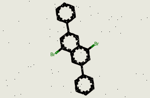 Brc1cc(-c2ccccc2)cc2c(Br)cc(-c3ccccc3)cc12